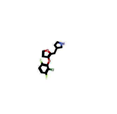 Fc1ccc(F)c(Oc2ccoc2CC2CCNC2)c1Cl